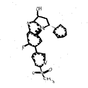 CS(=O)(=O)c1ccc(-c2cc3c(cc2F)nc2n3[C@@H](c3ccccc3)CC2O)cn1